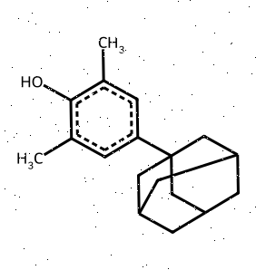 Cc1cc(C23CC4CC(CC(C4)C2)C3)cc(C)c1O